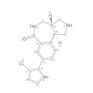 O=C1NC[C@@H]2CNC[C@H]2c2ccc(-c3[nH]ccc3Cl)cc21